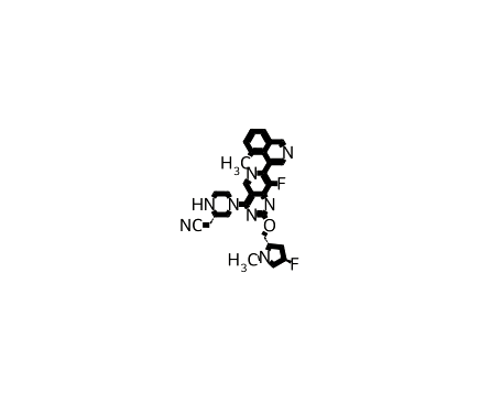 Cc1cccc2cncc(-c3ncc4c(N5CCN[C@@H](CC#N)C5)nc(OC[C@@H]5C[C@@H](F)CN5C)nc4c3F)c12